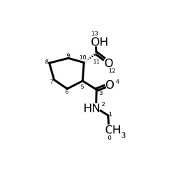 CCNC(=O)C1CCCC[C@@H]1C(=O)O